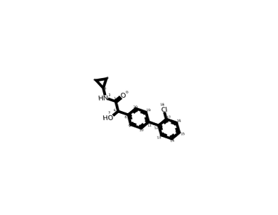 O=C(NC1CC1)C(O)c1ccc(-c2ccccc2Cl)cc1